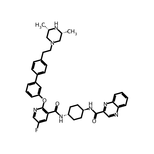 C[C@@H]1CN(CCc2ccc(-c3cccc(Oc4ncc(F)cc4C(=O)N[C@H]4CC[C@H](NC(=O)c5cnc6ccccc6n5)CC4)c3)cc2)C[C@H](C)N1